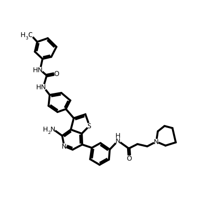 Cc1cccc(NC(=O)Nc2ccc(-c3csc4c(-c5cccc(NC(=O)CCN6CCCCC6)c5)cnc(N)c34)cc2)c1